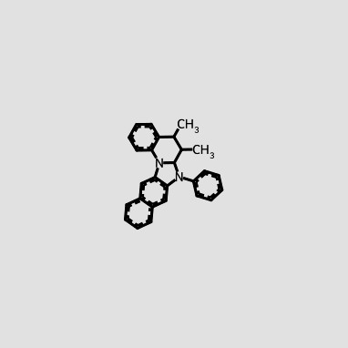 CC1c2ccccc2N2c3cc4ccccc4cc3N(c3ccccc3)C2C1C